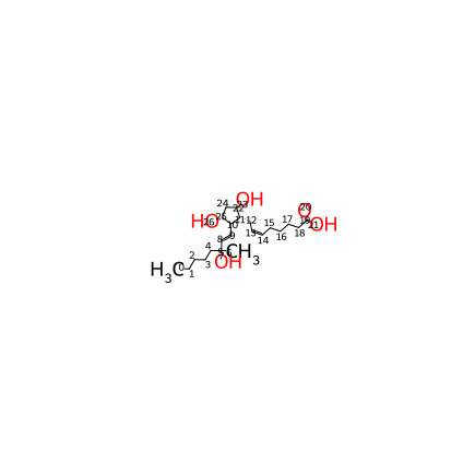 CCCCCC(C)(O)/C=C/[C@@H]1[C@@H](C/C=C\CCCCC(=O)O)[C@@H](O)C[C@H]1O